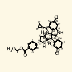 CCOC(=O)c1ccc([C@@H]2C[C@H]3[C@@H](N2)[C@H](c2cccc(Cl)c2)[C@]2(C(=O)Nc4cc(Cl)ccc42)N3CC2CC2)cc1